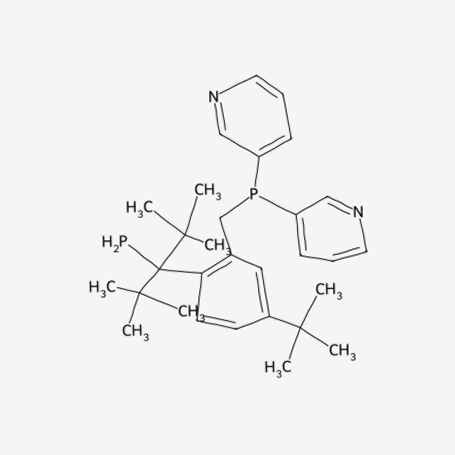 CC(C)(C)c1ccc(C(P)(C(C)(C)C)C(C)(C)C)c(CP(c2cccnc2)c2cccnc2)c1